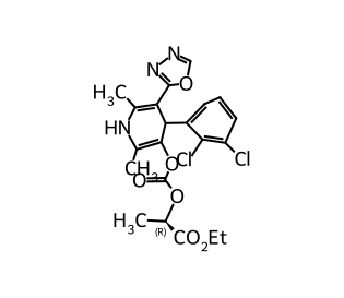 CCOC(=O)[C@@H](C)OC(=O)OC1=C(C)NC(C)=C(c2nnco2)C1c1cccc(Cl)c1Cl